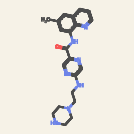 Cc1cc(NC(=O)c2cnc(NCCN3CCNCC3)cn2)c2ncccc2c1